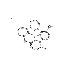 COc1cccc(C2(c3ccccc3)c3ccccc3Oc3ccc(F)cc32)c1